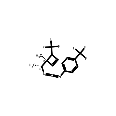 C[C@@H](N=C=Nc1ccc(C(F)(F)F)cc1)[C@]1(C)C=CC1C(F)(F)F